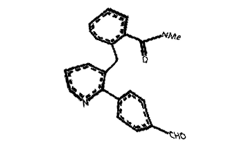 CNC(=O)c1ccccc1Cc1cccnc1-c1ccc(C=O)cc1